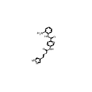 Nc1ccccc1NC(=O)c1ccc(NC(=O)C/C=C/c2cn[nH]c2)cn1